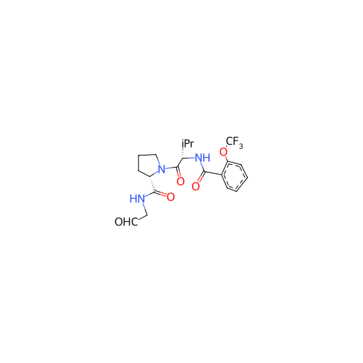 CC(C)[C@H](NC(=O)c1ccccc1OC(F)(F)F)C(=O)N1CCC[C@H]1C(=O)NCC=O